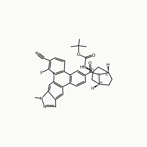 Cn1ncc2cc(-c3ccc(C(=O)N4[C@@H]5CC[C@H]4C[C@H](NC(=O)OC(C)(C)C)C5)cc3-c3ccc(C#N)c(F)c3)c(F)cc21